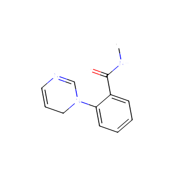 CNC(=O)c1ccccc1N1C=NC=CC1